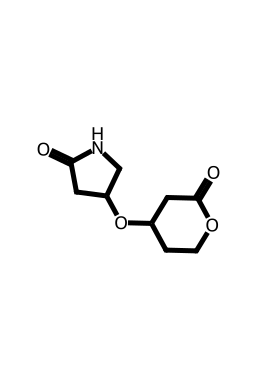 O=C1CC(OC2CCOC(=O)C2)CN1